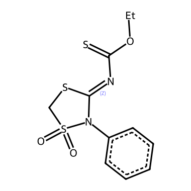 CCOC(=S)/N=C1\SCS(=O)(=O)N1c1ccccc1